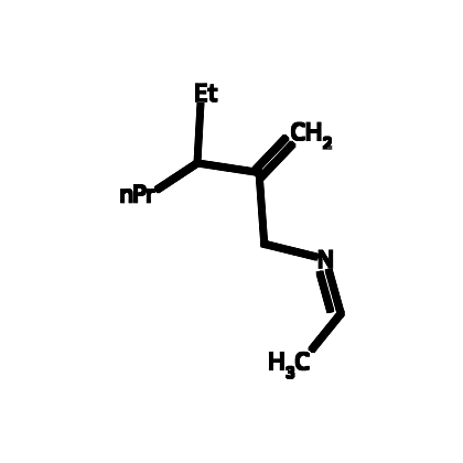 C=C(C/N=C\C)C(CC)CCC